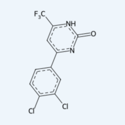 O=c1nc(-c2ccc(Cl)c(Cl)c2)cc(C(F)(F)F)[nH]1